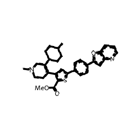 COC(=O)c1sc(-c2ccc(-c3cc4ncccc4o3)cc2)cc1C1=C(C2CCC(C)CC2)CN(C)CC1